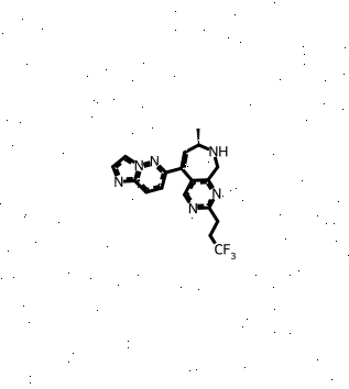 C[C@@H]1C=C(c2ccc3nccn3n2)c2cnc(CCC(F)(F)F)nc2CN1